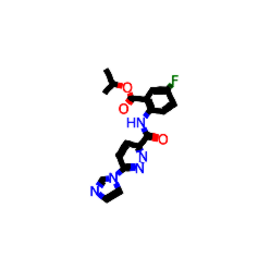 CC(C)OC(=O)c1cc(F)ccc1NC(=O)c1ccc(-n2ccnc2)nn1